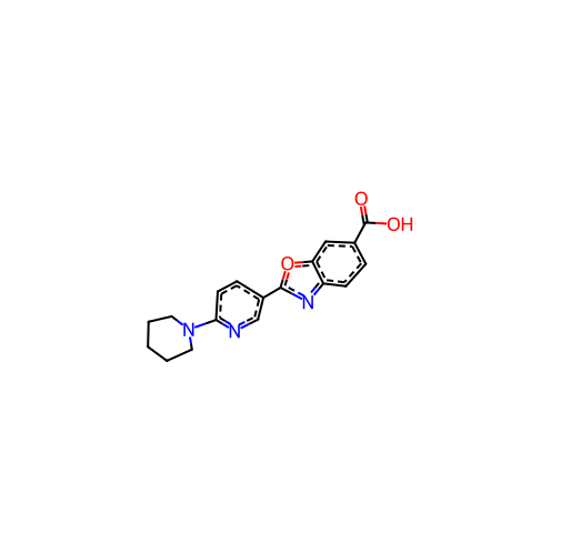 O=C(O)c1ccc2nc(-c3ccc(N4CCCCC4)nc3)oc2c1